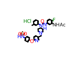 CC(=O)Nc1cc(NC(=O)N(c2cccc(C)c2)C2CCN(Cc3ccc(Oc4ccc(NS(C)(=O)=O)cc4)nc3)CC2)ccc1F.Cl